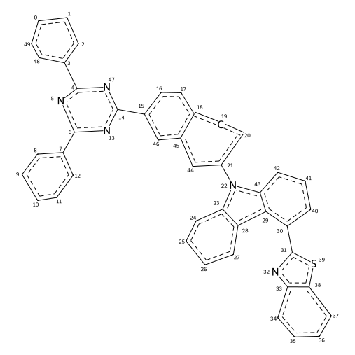 c1ccc(-c2nc(-c3ccccc3)nc(-c3ccc4ccc(-n5c6ccccc6c6c(-c7nc8ccccc8s7)cccc65)cc4c3)n2)cc1